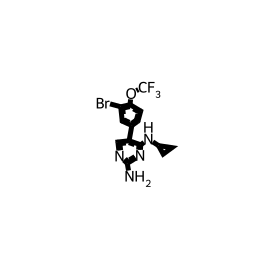 Nc1ncc(-c2ccc(OC(F)(F)F)c(Br)c2)c(NC2CC2)n1